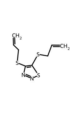 C=CCSc1nnsc1SCC=C